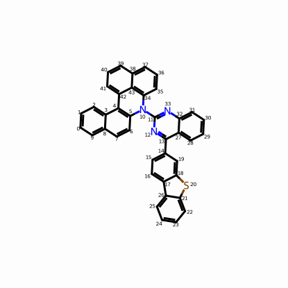 c1ccc2c3c(ccc2c1)N(c1nc(-c2ccc4c(c2)sc2ccccc24)c2ccccc2n1)c1cccc2cccc-3c12